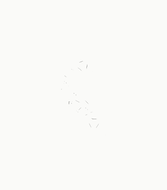 CN/C(NC1CC2CC1N(C(=O)CNc1cc(Cl)cc(Cl)c1)C2)=C1/C=CN(S(=O)(=O)c2ccc(C)cc2)C1=N